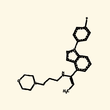 C/C=C(\NCCCN1CCOCC1)c1cccc2c1cnn2-c1ccc(F)cc1